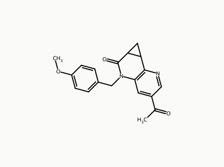 COc1ccc(CN2C(=O)C3CC3c3ncc(C(C)=O)cc32)cc1